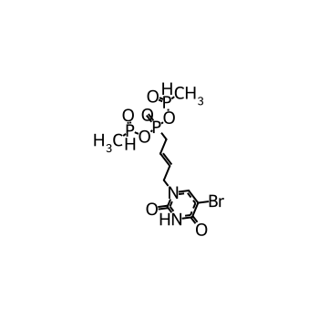 C[PH](=O)OP(=O)(C/C=C/Cn1cc(Br)c(=O)[nH]c1=O)O[PH](C)=O